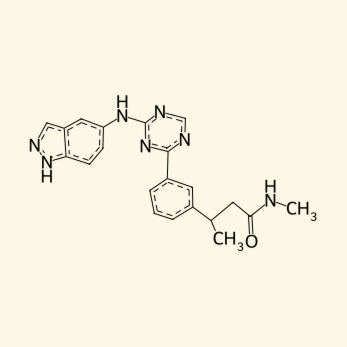 CNC(=O)CC(C)c1cccc(-c2ncnc(Nc3ccc4[nH]ncc4c3)n2)c1